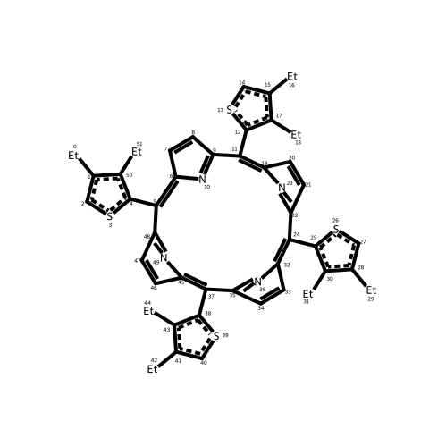 CCc1csc(C2=C3C=CC(=N3)C(c3scc(CC)c3CC)=C3C=CC(=N3)C(c3scc(CC)c3CC)=C3C=CC(=N3)C(c3scc(CC)c3CC)=C3C=CC2=N3)c1CC